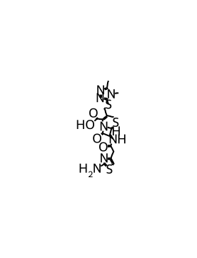 Cc1nnc(SCC2=C(C(=O)O)N3C(=O)C(NC(=O)Cc4csc(N)n4)[C@H]3SC2)n1C